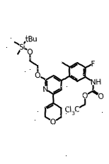 Cc1cc(F)c(NC(=O)OCC(Cl)(Cl)Cl)cc1-c1cc(OCCO[Si](C)(C)C(C)(C)C)nc(C2=CCOCC2)c1